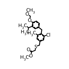 COCOc1ccc(Cc2c(C)cc(CSCC(=O)OC)cc2Cl)cc1C(C)C